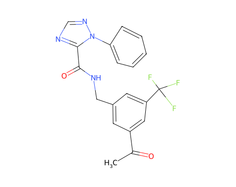 CC(=O)c1cc(CNC(=O)c2ncnn2-c2ccccc2)cc(C(F)(F)F)c1